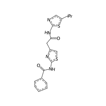 CC(C)c1cnc(NC(=O)Cc2csc(NC(=O)c3ccccc3)n2)s1